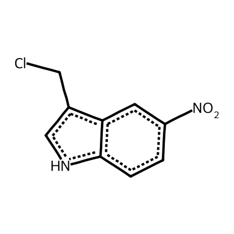 O=[N+]([O-])c1ccc2[nH]cc(CCl)c2c1